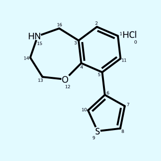 Cl.c1cc2c(c(-c3ccsc3)c1)OCCNC2